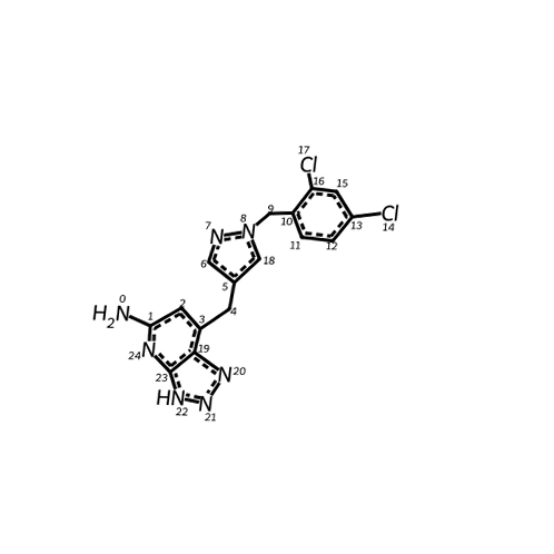 Nc1cc(Cc2cnn(Cc3ccc(Cl)cc3Cl)c2)c2nn[nH]c2n1